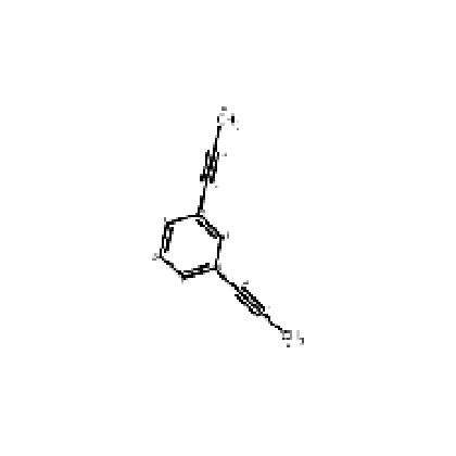 CC#Cc1[c]c(C#CC)ccc1